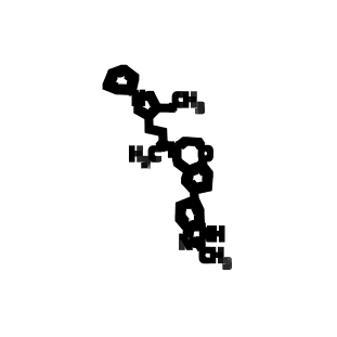 C=C(CCC1CN(c2ccccc2)CC1CC)N1CCOc2ccc(-c3ccc4nc(C)[nH]c4c3)cc2C1